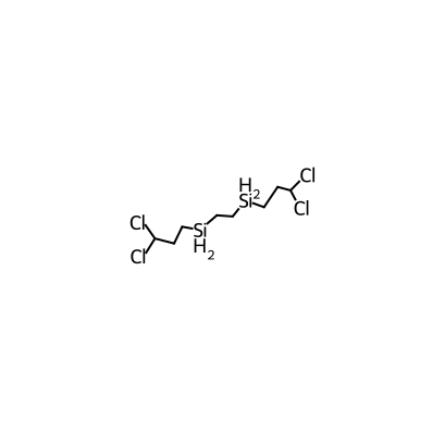 ClC(Cl)CC[SiH2]CC[SiH2]CCC(Cl)Cl